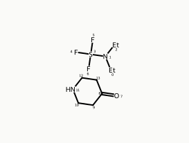 CCN(CC)S(F)(F)F.O=C1CCNCC1